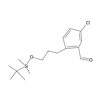 CC(C)(C)[Si](C)(C)OCCCc1ccc(Cl)cc1C=O